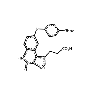 CC(=O)Nc1ccc(Sc2ccc3[nH]c(=O)c4[nH]cc(CCC(=O)O)c4c3c2)cc1